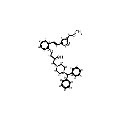 COCc1cc(/C=C/c2ccccc2OCC(O)CN2CCN(C(c3ccccc3)c3ccccc3)CC2)no1